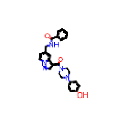 O=C(NCc1ccn2ncc(C(=O)N3CCN(c4ccc(O)cc4)CC3)c2c1)c1ccccc1